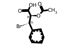 CC(=O)O[C@H](C(=O)O)[C@@H](Br)c1ccccc1